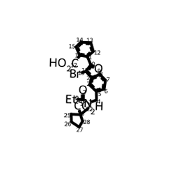 CCC(=O)N(Cc1ccc2oc(-c3ccccc3C(=O)O)c(Br)c2c1)CC1(C(=O)O)CCCC1